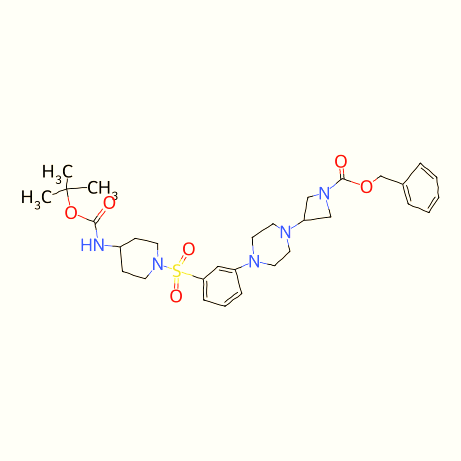 CC(C)(C)OC(=O)NC1CCN(S(=O)(=O)c2cccc(N3CCN(C4CN(C(=O)OCc5ccccc5)C4)CC3)c2)CC1